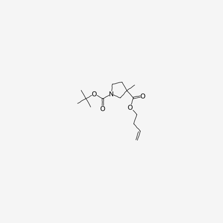 C=CCCOC(=O)C1(C)CCN(C(=O)OC(C)(C)C)C1